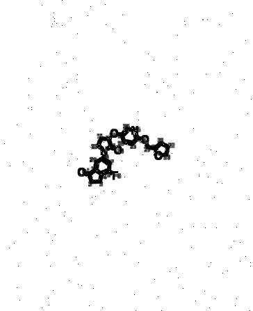 O=C1CCc2c(F)cc(N3CC[C@@H](Oc4ccc(OCC5CCCO5)nc4)C3=O)cc21